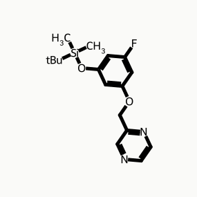 CC(C)(C)[Si](C)(C)Oc1cc(F)cc(OCc2cnccn2)c1